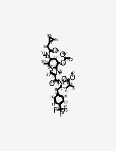 COC(=O)C(C)C[C@H](Cc1ccc(C(F)(F)F)cc1)NC(=O)c1csc(C(CC(C(C)C)N(C)C(=O)CC2CC2)OC(C)=O)n1